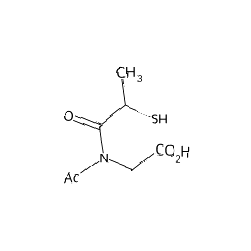 CC(=O)N(CC(=O)O)C(=O)C(C)S